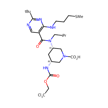 CSCCCNc1nc(C(C)(C)C)ncc1C(=O)N(CC(C)C)[C@H]1C[C@@H](NC(=O)OCC(Cl)(Cl)Cl)CN(C(=O)O)C1